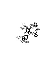 COC(=O)C1(C(=O)O)CCC(Oc2cc(C(=O)N[C@@H]3[C@H]4CC[C@H](C4)[C@@H]3C(=O)NCC3(C)CCC3)c(OC(C)C)cc2F)CC1